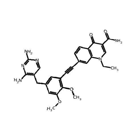 CCn1cc(C(N)=O)c(=O)c2ccc(C#Cc3cc(Cc4cnc(N)nc4N)cc(OC)c3OC)cc21